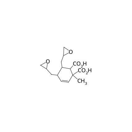 CC1(C(=O)O)C=CC(CC2CO2)C(CC2CO2)C1C(=O)O